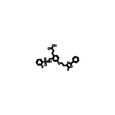 Cc1oc(-c2ccccc2)nc1CCOc1ccc(CCC(=O)O)c(CNS(=O)(=O)c2ccccc2F)c1